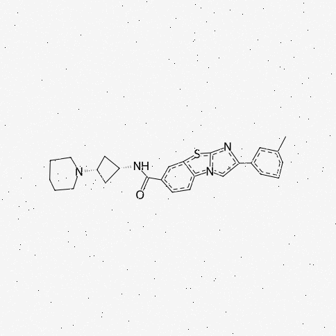 Cc1cccc(-c2cn3c(n2)sc2cc(C(=O)N[C@H]4C[C@@H](N5CCCCC5)C4)ccc23)c1